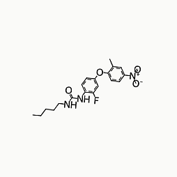 CCCCCNC(=O)Nc1ccc(Oc2ccc([N+](=O)[O-])cc2C)cc1F